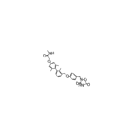 CNC(=O)COc1cc(C)c(-c2cccc(COc3ccc(Cn4oc(=O)[nH]c4=O)cc3)c2C)c(C)c1